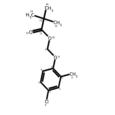 Cc1cc(Cl)ccc1OCOC(=O)C(C)(C)C